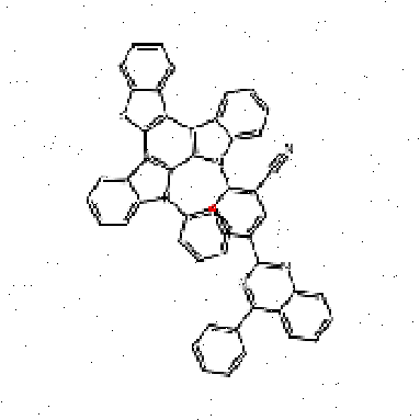 N#Cc1cc(-c2nc(-c3ccccc3)c3ccccc3n2)ccc1-n1c2ccccc2c2c3c4ccccc4sc3c3c4ccccc4n(-c4ccccc4)c3c21